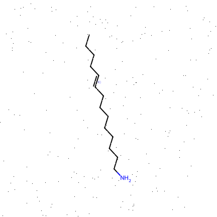 CCCC/C=C/CCCCCCCCN